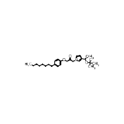 CCCCCCCCc1ccc(OCC(=O)Cn2ccc(C(=O)OC(C)(C)C)c2)cc1